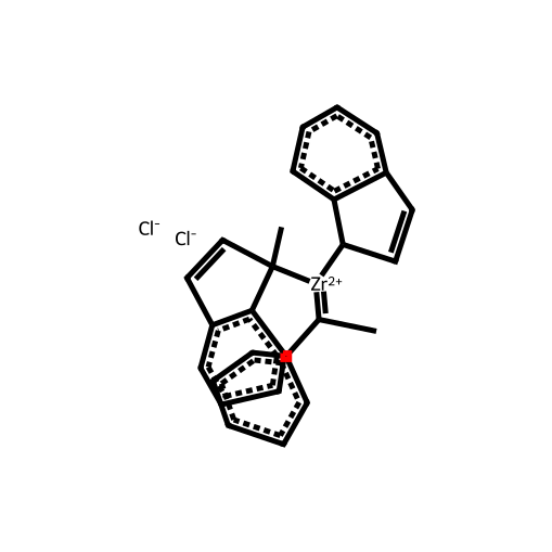 C/[C](c1ccccc1)=[Zr+2](\[CH]1C=Cc2ccccc21)[C]1(C)C=Cc2ccccc21.[Cl-].[Cl-]